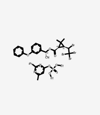 CC1(C)[C@H](C(=O)O[C@H](C#N)c2cccc(Oc3ccccc3)c2)[C@@H]1C(Br)C(Br)(Br)Br.CCOP(=S)(OCC)Oc1cc(C)nc(C(C)C)n1